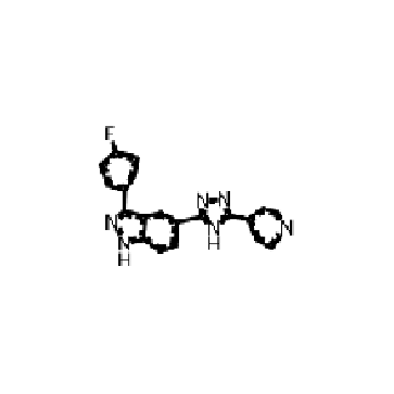 Fc1ccc(-c2n[nH]c3ccc(-c4nnc(-c5ccncc5)[nH]4)cc23)cc1